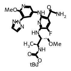 COC[C@@H](Nc1nc(Nc2cnc(OC)c(-n3nccn3)c2)c(C(N)=O)cc1F)[C@H](C)NC(=O)OC(C)(C)C